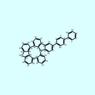 c1ccc(-c2ccc(-c3ccc4c(c3)c3cccc5c6cccc7sc8cccc(c9ccccc9n4c53)c8c76)cc2)cc1